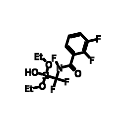 CCO[Si](O)(OCC)C(F)(F)N(F)C(=O)c1cccc(F)c1F